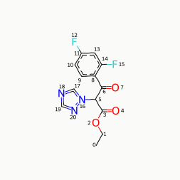 CCOC(=O)C(C(=O)c1ccc(F)cc1F)n1cncn1